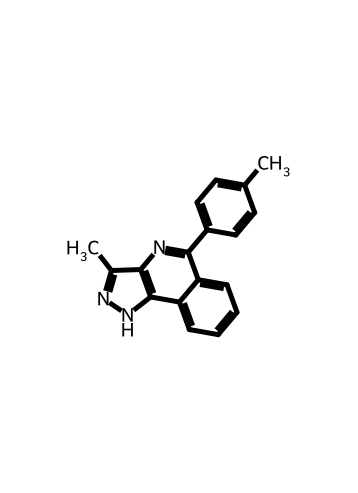 Cc1ccc(-c2nc3c(C)n[nH]c3c3ccccc23)cc1